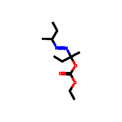 CCOC(=O)OC(C)(CC)N=NC(C)CC